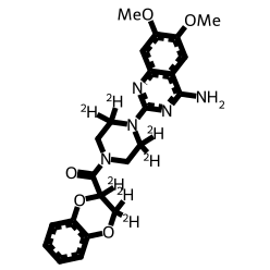 [2H]C1([2H])CN(C(=O)C2([2H])Oc3ccccc3OC2([2H])[2H])CC([2H])([2H])N1c1nc(N)c2cc(OC)c(OC)cc2n1